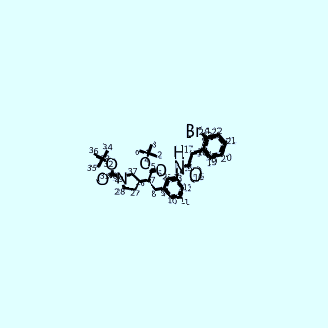 CC(C)(C)OC(=O)[C@@H](Cc1cccc(NC(=O)Cc2ccccc2Br)c1)[C@H]1CCN(C(=O)OC(C)(C)C)C1